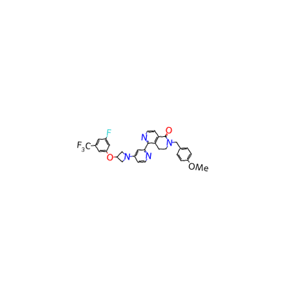 COc1ccc(CN2CCc3c(ccnc3-c3cc(N4CC(Oc5cc(F)cc(C(F)(F)F)c5)C4)ccn3)C2=O)cc1